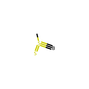 B#S(C)=S